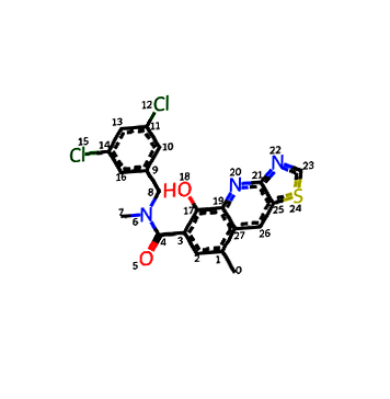 Cc1cc(C(=O)N(C)Cc2cc(Cl)cc(Cl)c2)c(O)c2nc3ncsc3cc12